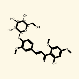 COc1cc(O)c(C(=O)/C=C/c2ccc(O[C@@H]3O[C@H](CO)[C@@H](O)[C@H](O)[C@H]3O)c(OC)c2)c(OC)c1